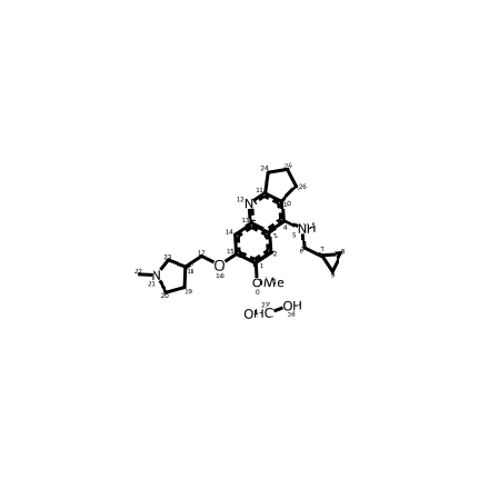 COc1cc2c(NCC3CC3)c3c(nc2cc1OCC1CCN(C)C1)CCC3.O=CO